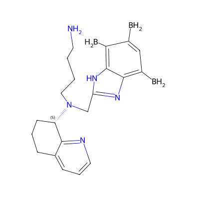 Bc1cc(B)c2nc(CN(CCCCN)[C@H]3CCCc4cccnc43)[nH]c2c1B